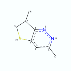 Cc1cc2c(nn1)C(C)CS2